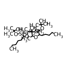 CCCCCC(OC(C)C(C)(N)C(C)OC(CCCCC)[SiH2]OC(C)(C)C)[SiH2]OC(C)(C)C